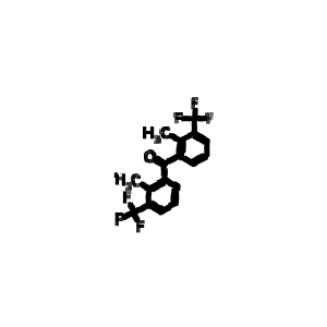 Cc1c(C(=O)c2cccc(C(F)(F)F)c2C)cccc1C(F)(F)F